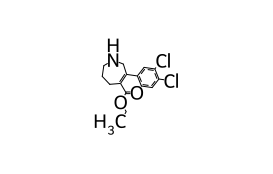 CCOC(=O)C1=C(c2ccc(Cl)c(Cl)c2)CNCCC1